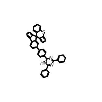 C1=CC(C2=NC(c3ccc(-c4ccc5c(c4)C4(c6ccccc6Sc6ccccc64)c4ccccc4-5)cc3)NC(c3ccccc3)=N2)=CCC1